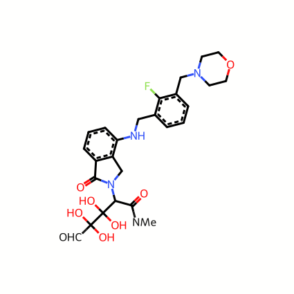 CNC(=O)C(N1Cc2c(NCc3cccc(CN4CCOCC4)c3F)cccc2C1=O)C(O)(O)C(O)(O)C=O